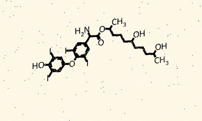 CC(O)CCCC(O)CCCC(C)OC(=O)C(N)c1cc(I)c(Oc2cc(I)c(O)c(I)c2)c(I)c1